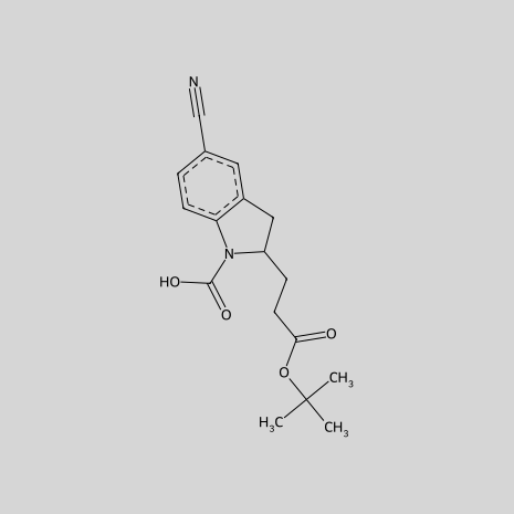 CC(C)(C)OC(=O)CCC1Cc2cc(C#N)ccc2N1C(=O)O